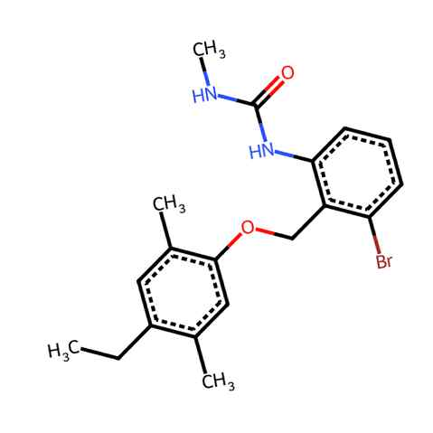 CCc1cc(C)c(OCc2c(Br)cccc2NC(=O)NC)cc1C